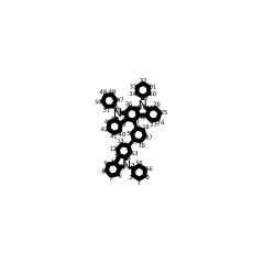 c1ccc(-n2c3ccccc3c3ccc(-c4cccc(-c5c6c7ccccc7n(-c7ccccc7)c6cc6c5c5ccccc5n6-c5ccccc5)c4)cc32)cc1